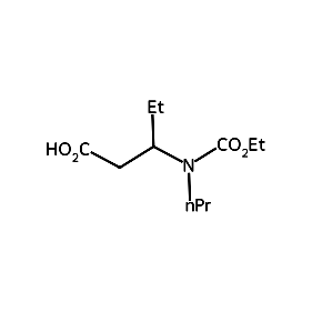 CCCN(C(=O)OCC)C(CC)CC(=O)O